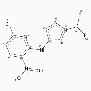 O=[N+]([O-])c1ccc(Cl)nc1Nc1cnn(C(F)F)c1